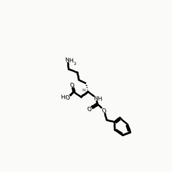 NCCCC[C@@H](CC(=O)O)NC(=O)OCc1ccccc1